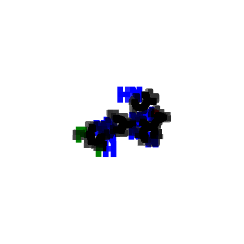 CC1CNCCC1N(C)c1nc(-c2ccnc(Nc3ncc(F)cc3F)c2)nc2cncc(C3CC3)c12